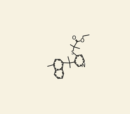 CCOC(=O)C(C)(C)Sc1ccncc1C(C)(C)c1ccc(C)c2ccccc12